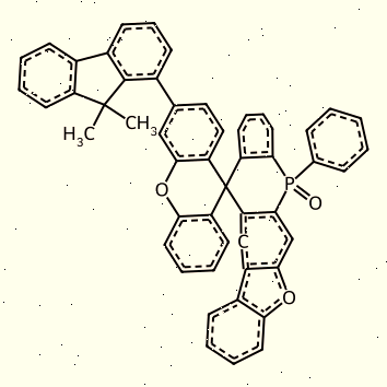 CC1(C)c2ccccc2-c2cccc(-c3ccc4c(c3)Oc3ccccc3C43c4ccccc4P(=O)(c4ccccc4)c4cc5oc6ccccc6c5cc43)c21